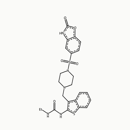 CCNC(=O)Nc1sc2ccccc2c1CN1CCN(S(=O)(=O)c2ccc3oc(=O)[nH]c3c2)CC1